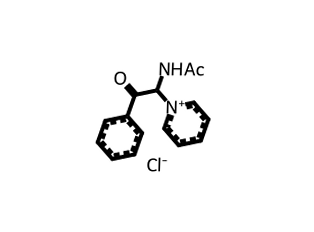 CC(=O)NC(C(=O)c1ccccc1)[n+]1ccccc1.[Cl-]